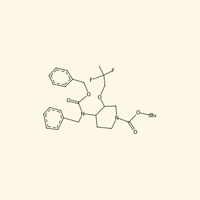 CC(F)(F)COC1CN(C(=O)OC(C)(C)C)CCC1N(Cc1ccccc1)C(=O)OCc1ccccc1